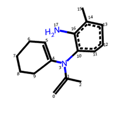 C=C(C)N(C1=CCCCC1)c1cccc(C)c1N